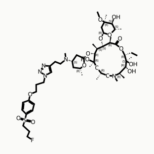 CC[C@H]1OC(=O)[C@H](C)[C@@H](O[C@H]2C[C@@](C)(OC)[C@@H](O)[C@H](C)O2)[C@H](C)[C@@H](O[C@H]2C[C@@H](N(C)CCc3cn(CCCOc4ccc(S(=O)(=O)CCCF)cc4)nn3)C[C@@H](C)O2)[C@](C)(O)C[C@@H](C)CN(C)[C@H](C)[C@@H](O)[C@]1(C)O